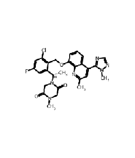 Cc1cc(-c2ncnn2C)c2cccc(OCc3c(Cl)cc(F)cc3[C@H](C)N3CC(=O)N(C)CC3=O)c2n1